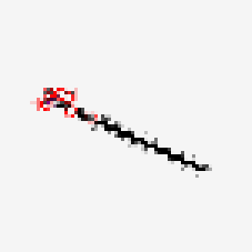 CCCCCCCCCCCCCCCCCCOCCOC(=O)CP(=O)(O)O